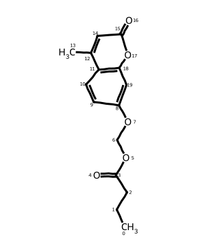 CCCC(=O)OCOc1ccc2c(C)cc(=O)oc2c1